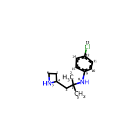 CC(C)(CC1CCN1)Nc1ccc(Cl)cc1